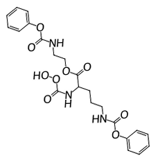 O=C(NC(CCCNC(=O)Oc1ccccc1)C(=O)OCCNC(=O)Oc1ccccc1)OO